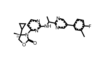 Cc1cc(-c2cnc(C(C)Nc3nccc(N4C(=O)OC[C@]4(C)C4CC4)n3)nc2)ccc1F